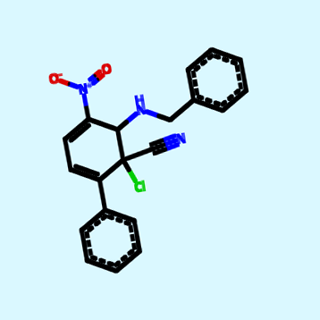 N#CC1(Cl)C(c2ccccc2)=CC=C([N+](=O)[O-])C1NCc1ccccc1